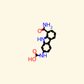 NC(=O)c1cccc2c1[nH]c1cc(NC(=O)O)ccc12